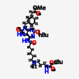 CCCCOc1nc(NC(=O)CCCCCN(CC)CCCNC(=O)OC(C)(C)C)c2[nH]c(=O)n(Cc3cccc(CC(=O)OC)c3)c2n1